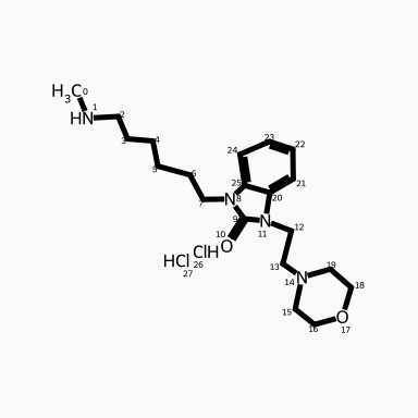 CNCCCCCCn1c(=O)n(CCN2CCOCC2)c2ccccc21.Cl.Cl